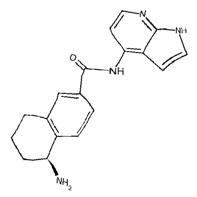 N[C@H]1CCCc2cc(C(=O)Nc3ccnc4[nH]ccc34)ccc21